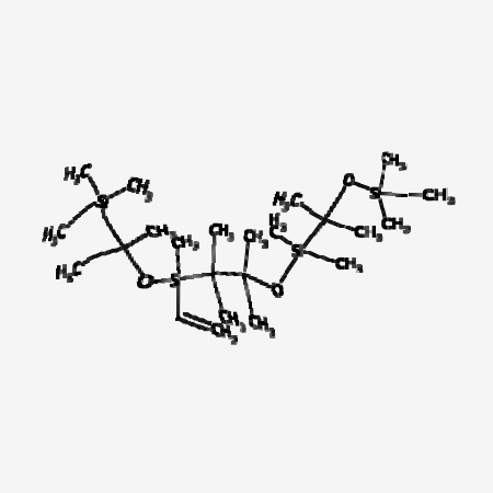 C=C[Si](C)(OC(C)(C)[Si](C)(C)C)C(C)(C)C(C)(C)O[Si](C)(C)C(C)(C)O[Si](C)(C)C